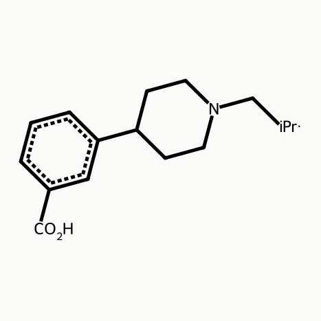 C[C](C)CN1CCC(c2cccc(C(=O)O)c2)CC1